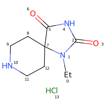 CCN1C(=O)NC(=O)C12CCNCC2.Cl